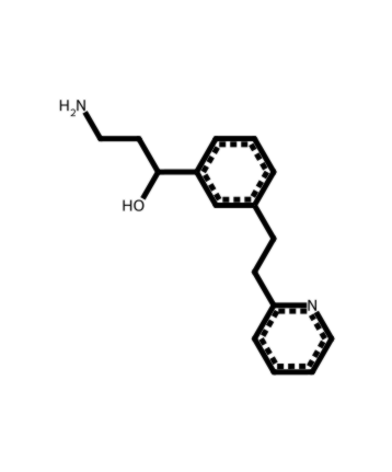 NCCC(O)c1cccc(CCc2ccccn2)c1